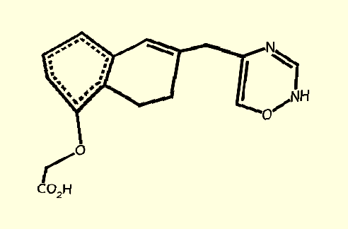 O=C(O)COc1cccc2c1CCC(CC1=CONC=N1)=C2